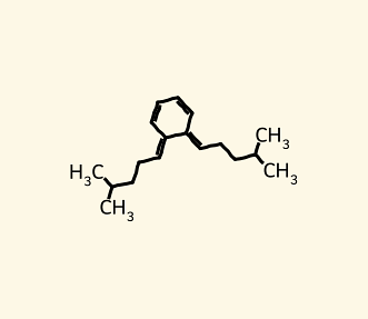 CC(C)CCC=c1ccccc1=CCCC(C)C